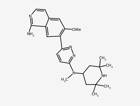 COc1cc2ccnc(N)c2cc1-c1ccc(N(C)C2CC(C)(C)NC(C)(C)C2)nn1